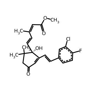 COC(=O)/C=C(C)\C=C\[C@@]1(O)C(/C=C/c2ccc(F)c(Cl)c2)=CC(=O)CC1(C)C